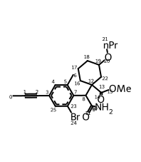 CC#Cc1cc(C)c(C(C(N)=O)C2(C(=O)OC)CCCC(OCCC)C2)c(Br)c1